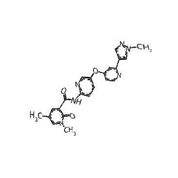 Cc1cc(C(=O)Nc2ccc(Oc3ccnc(-c4cnn(C)c4)c3)cn2)c(=O)n(C)c1